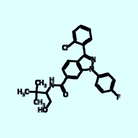 CC(C)(C)C(CO)NC(=O)c1ccc2c(-c3ccccc3Cl)nn(-c3ccc(F)cc3)c2c1